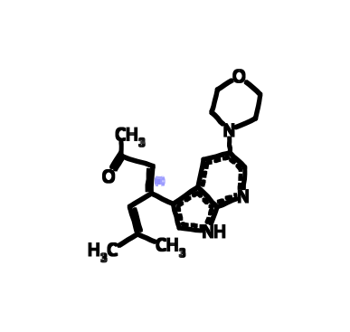 CC(=O)/C=C(\C=C(C)C)c1c[nH]c2ncc(N3CCOCC3)cc12